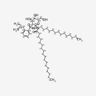 CCCCCCCCCCCCCCCCCC(=O)N(CCCCCCCCCCCCCC)[C@@]1(NC(=O)c2ccccc2C[C@@H](C)N)C[C@@H](O)[C@H](O)[C@@H](CO)O1